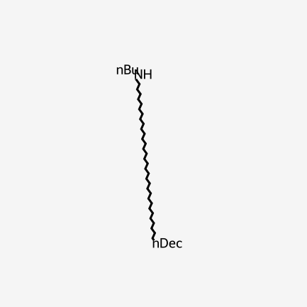 CCCCCCCCCCCCCCCCCCCCCCCCCCCCCCCCCCCCCCCCCCCNCCCC